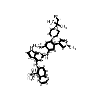 COc1cc(N2CCN(C(C)(C)CF)CC2)c(-c2cnn(C)c2)cc1Nc1nc(Nc2ccc3nccnc3c2P(C)(C)=O)c2cc[nH]c2n1